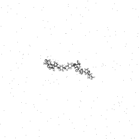 CN(C(=O)c1coc(-c2ccnc(NCC3CC3)c2)n1)c1cn([C@H]2CC[C@H](CN(C)C3CCN(Cc4cccc5c4n(C)c(=O)n5C4CCC(=O)NC4=O)CC3)CC2)nc1C(F)F